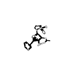 CC(=O)Oc1c(N2CCCS2(=O)=O)oc(-c2cccnc2)c1O